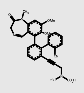 COc1cc2c(c(-c3cccc(C#CCN(C(=O)O)C(C)(C)C)c3-c3ccccc3C#N)c1OC)C=NCC(=O)N2C